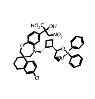 C=CC(O[Si](c1ccccc1)(c1ccccc1)C(C)(C)C)[C@@H]1CC[C@H]1CN1C[C@@]2(CCCc3cc(Cl)ccc32)COc2ccc(C(O)(C[N+](=O)[O-])C(=O)O)cc21